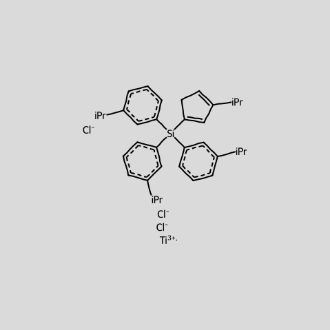 CC(C)C1=CCC([Si](c2cccc(C(C)C)c2)(c2cccc(C(C)C)c2)c2cccc(C(C)C)c2)=C1.[Cl-].[Cl-].[Cl-].[Ti+3]